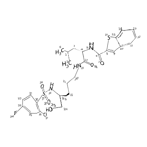 CC(C)C[C@H](NC(=O)c1cc2ccccc2s1)C(=O)NCCC[C@@H](CO)NS(=O)(=O)c1ccc(F)cc1Cl